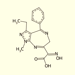 CCc1nn(C)c2c1C(c1ccccc1)=NCC(C(=NO)C(=O)O)=N2